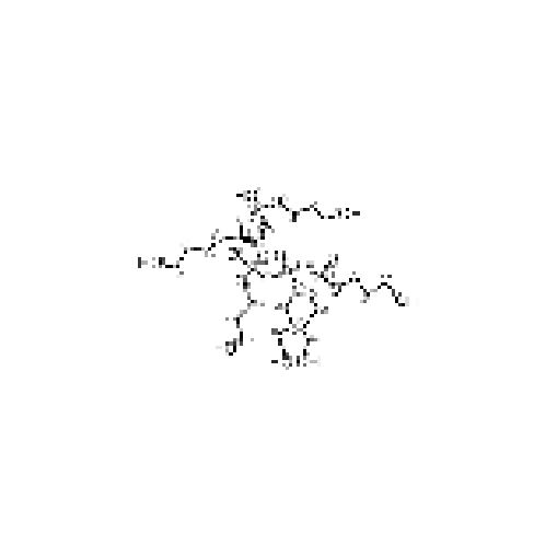 O=P(O)(OCCCO)OP(=O)(OCCCO)OP(=O)(OCCCO)OP(=O)(OCCCO)OP(=O)(OCCCO)OCCCO